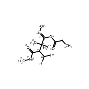 CCC(=O)O/C(=N\O)C(C)(C)C(C(=O)NC)C(F)F